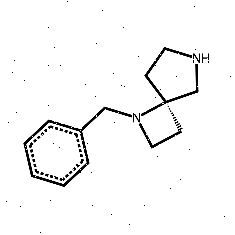 c1ccc(CN2CC[C@@]23CCNC3)cc1